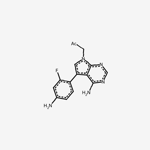 CC(=O)Cn1cc(-c2ccc(N)cc2F)c2c(N)ncnc21